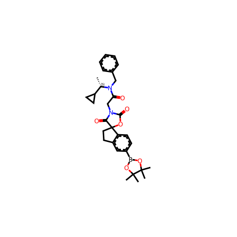 C[C@@H](C1CC1)N(Cc1ccccc1)C(=O)CN1C(=O)OC2(CCc3cc(B4OC(C)(C)C(C)(C)O4)ccc32)C1=O